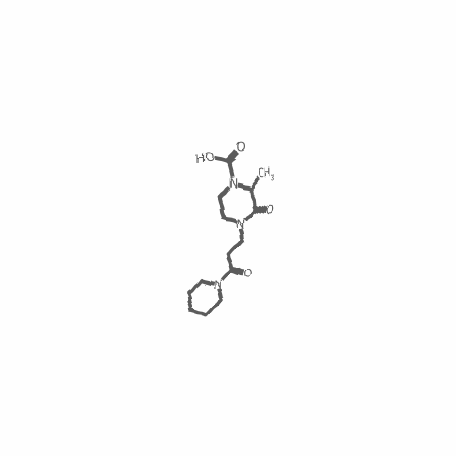 CC1C(=O)N(CCC(=O)N2CCCCC2)CCN1C(=O)O